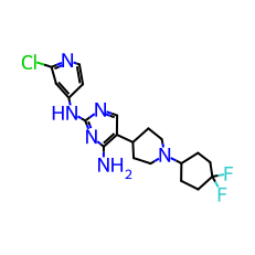 Nc1nc(Nc2ccnc(Cl)c2)ncc1C1CCN(C2CCC(F)(F)CC2)CC1